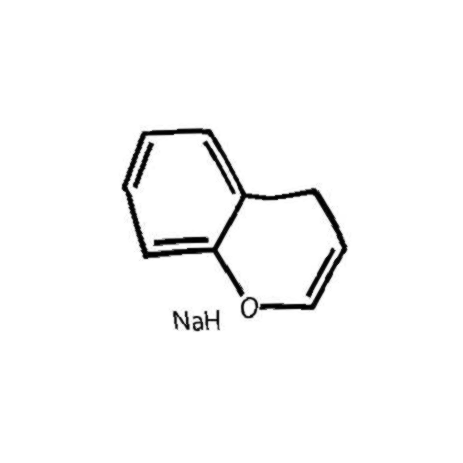 C1=COc2ccccc2C1.[NaH]